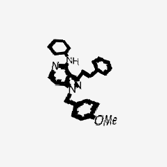 COc1ccc(Cn2nc(C=Cc3ccccc3)c3c(NC4CCCCC4)nccc32)cc1